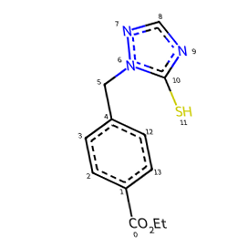 CCOC(=O)c1ccc(Cn2ncnc2S)cc1